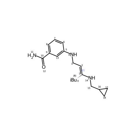 CC[C@@H](C)/C(=C\CNc1cccc(C(N)=O)c1)NCC1CC1